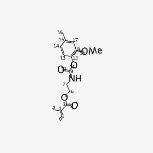 C=C(C)C(=O)OCCNC(=O)Oc1ccc(C)cc1OC